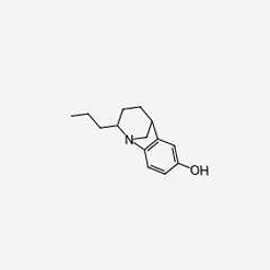 CCCC1CCC2CN1c1ccc(O)cc12